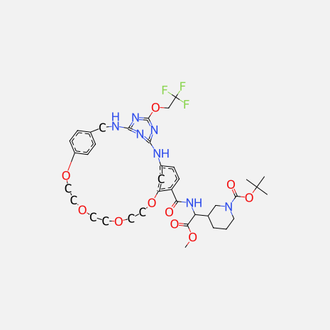 COC(=O)C(NC(=O)c1ccc2cc1OCCOCCOCCOc1ccc(cc1)CNc1nc(nc(OCC(F)(F)F)n1)N2)C1CCCN(C(=O)OC(C)(C)C)C1